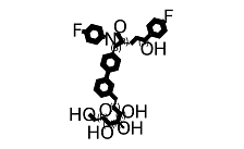 O=C1[C@H](CC[C@H](O)c2ccc(F)cc2)[C@@H](c2ccc(-c3cccc(C[C@@H]4O[C@H](CO)[C@@H](O)[C@H](O)[C@H]4O)c3)cc2)N1c1ccc(F)cc1